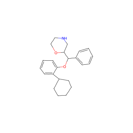 c1ccc(C(Oc2ccccc2C2CCCCC2)C2CNCCO2)cc1